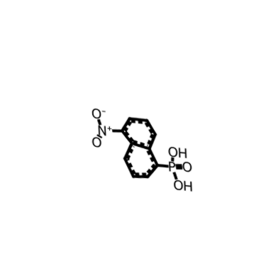 O=[N+]([O-])c1cccc2c(P(=O)(O)O)cccc12